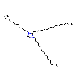 CCCCCCCCCCCCCCC1N(CCCCCCCCCCC)C=CN1CCCCCCCCCCCCC